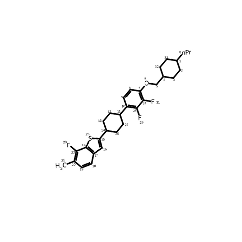 CCCC1CCC(COc2ccc(C3CCC(c4cc5ccc(C)c(F)c5s4)CC3)c(F)c2F)CC1